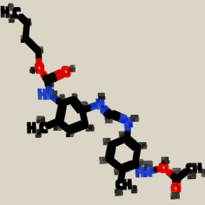 CCCCOC(=O)Nc1cc(N=C=Nc2ccc(C)c(NOC(C)=O)c2)ccc1C